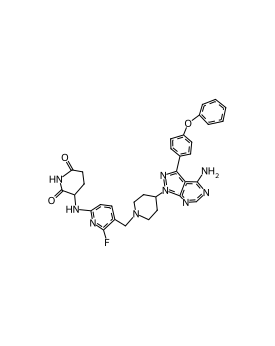 Nc1ncnc2c1c(-c1ccc(Oc3ccccc3)cc1)nn2C1CCN(Cc2ccc(NC3CCC(=O)NC3=O)nc2F)CC1